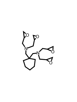 C1CCC(CN(CC2CO2)CC2CO2)(CN(CC2CO2)CC2CO2)CC1